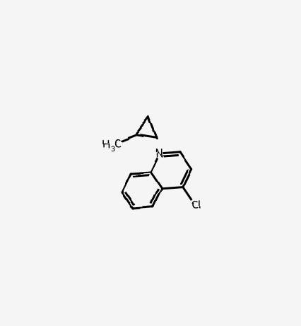 CC1CC1.Clc1ccnc2ccccc12